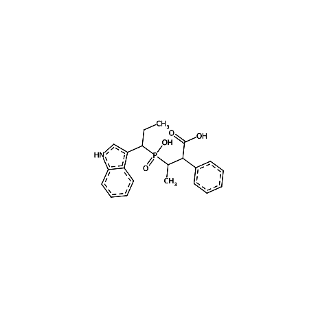 CCC(c1c[nH]c2ccccc12)P(=O)(O)C(C)C(C(=O)O)c1ccccc1